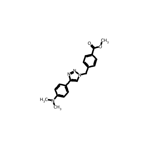 COC(=O)c1ccc(Cn2cc(-c3ccc(N(C)C)cc3)nn2)cc1